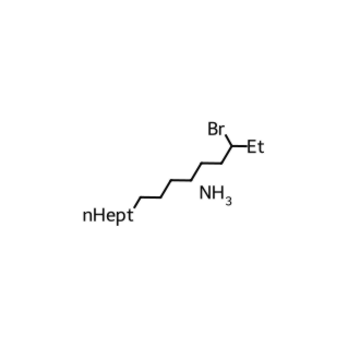 CCCCCCCCCCCCCC(Br)CC.N